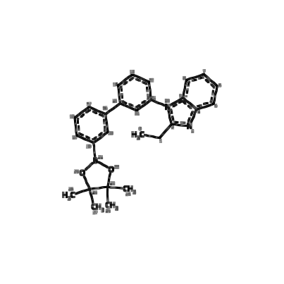 CCc1nc2ccccc2n1-c1cccc(-c2cccc(B3OC(C)(C)C(C)(C)O3)c2)c1